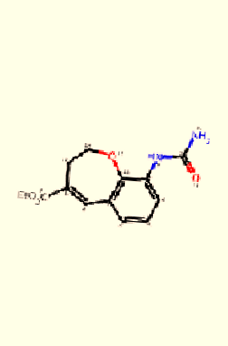 CCOC(=O)C1=Cc2cccc(NC(N)=O)c2OCC1